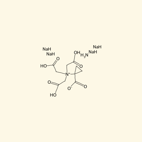 N.O=C(O)C[N+](CC(=O)O)(CC(=O)O)C1(C(=O)[O-])CC1.[NaH].[NaH].[NaH].[NaH]